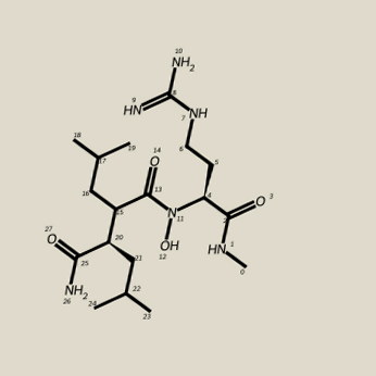 CNC(=O)[C@H](CCNC(=N)N)N(O)C(=O)C(CC(C)C)[C@@H](CC(C)C)C(N)=O